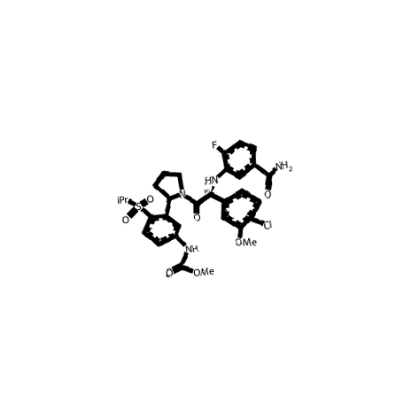 COC(=O)Nc1ccc(S(=O)(=O)C(C)C)c(C2CCCN2C(=O)[C@H](Nc2cc(C(N)=O)ccc2F)c2ccc(Cl)c(OC)c2)c1